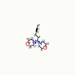 CC#CCCC(N1CCOCC1)N1CCOCC1